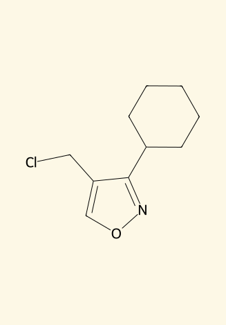 ClCc1conc1C1CCCCC1